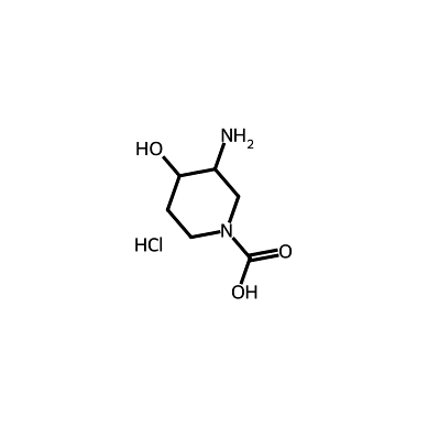 Cl.NC1CN(C(=O)O)CCC1O